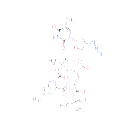 Cc1cn([C@H]2C[C@@H](N=[N+]=[N-])C(COC(=O)CCC(NC(=O)C(CC(C)C)NC(=O)OC(C)(C)C)C(=O)OC(C)(C)C)O2)c(=O)[nH]c1=O